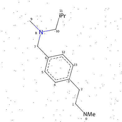 CNCCc1ccc(CN(C)CC(C)C)cc1